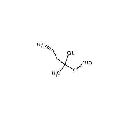 C=CCC(C)(C)OC=O